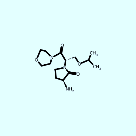 CC(C)OC[C@@H](C(=O)N1CCOCC1)N1CC[C@H](N)C1=O